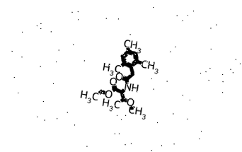 CCOC(=O)C(NC(=O)Cc1c(C)cc(C)cc1C)C(C)OC